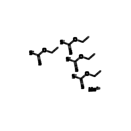 CCOC(=S)[S-].CCOC(=S)[S-].CCOC(=S)[S-].CCOC(=S)[S-].[Mo+4]